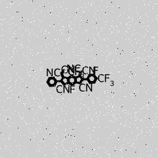 N#CC(C#N)=C1C(c2ccccc2)=C(C#N)c2c(F)c3c(c(C(F)(F)F)c21)C(=C(C#N)C#N)C(c1ccc(C(F)(F)F)c(F)c1)=C3C#N